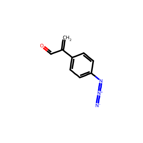 C=C(C=O)c1ccc(N=[N+]=[N-])cc1